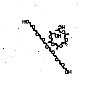 CC(O)COC(C)COC(C)COC(C)COC(C)COC(C)CO.OCCOCCOCCOCCOCCOCCOCCOCCO